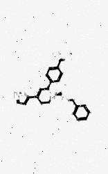 COC(=O)c1ccc(C2C=C(c3ccns3)CCN2C(=O)OCc2ccccc2)cc1